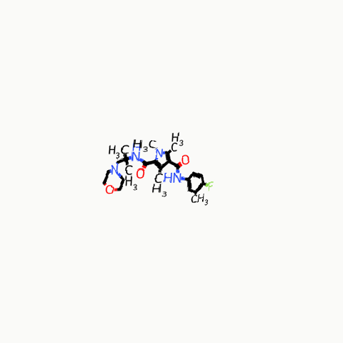 Cc1cc(NC(=O)c2c(C)c(C(=O)NC(C)(C)CN3CCOCC3)n(C)c2C)ccc1F